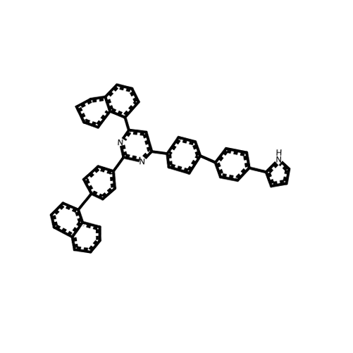 c1c[nH]c(-c2ccc(-c3ccc(-c4cc(-c5cccc6ccccc56)nc(-c5ccc(-c6cccc7ccccc67)cc5)n4)cc3)cc2)c1